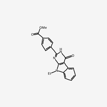 CCn1c2ccccc2c2c(=O)[nH]c(-c3ccc(C(=O)OC)cc3)nc21